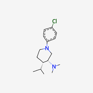 CC(C)[C@@H]1CCN(c2ccc(Cl)cc2)C[C@@H]1N(C)C